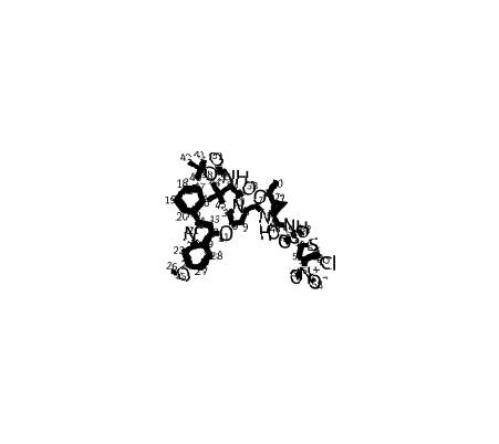 C=CC1CC1(NC(=O)C1CC(Oc2cc(-c3ccccc3)nc3cc(OC)ccc23)CN1C(=O)C(NC(=O)OC(C)(C)C)C(C)(C)C)C(=O)NS(=O)(=O)c1cc([N+](=O)[O-])c(Cl)s1